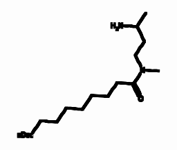 CCCCCCCCCCCCCCCCCC(=O)N(C)CCC(C)N